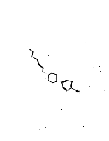 N#Cc1ccc([C@H]2CC[C@H](CC=CCCCF)CC2)cc1